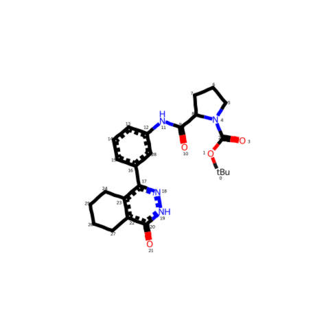 CC(C)(C)OC(=O)N1CCCC1C(=O)Nc1cccc(-c2n[nH]c(=O)c3c2CCCC3)c1